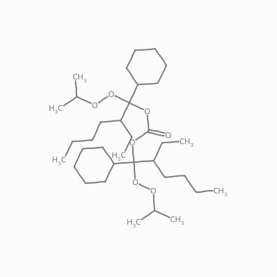 CCCCC(CC)C(OOC(C)C)(OC(=O)OC(OOC(C)C)(C(CC)CCCC)C1CCCCC1)C1CCCCC1